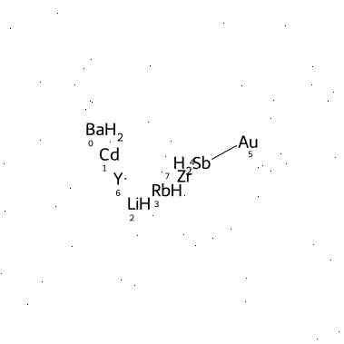 [BaH2].[Cd].[LiH].[RbH].[SbH2][Au].[Y].[Zr]